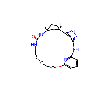 O=C1NCCCCCOc2cccc(n2)Nc2cc([nH]n2)[C@H]2CC[C@H](C2)N1